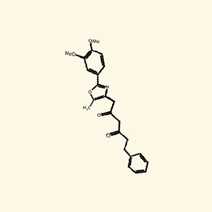 COc1ccc(-c2nc(CC(=O)CC(=O)CCc3ccccc3)c(C)o2)cc1OC